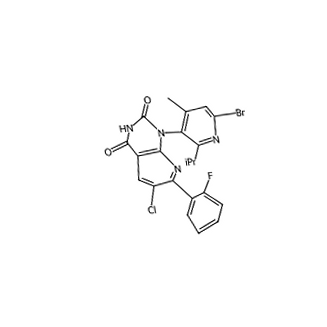 Cc1cc(Br)nc(C(C)C)c1-n1c(=O)[nH]c(=O)c2cc(Cl)c(-c3ccccc3F)nc21